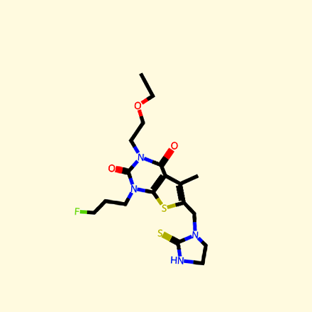 CCOCCn1c(=O)c2c(C)c(CN3CCNC3=S)sc2n(CCCF)c1=O